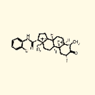 CN1C(=O)[C@H](F)C[C@]2(C)[C@H]3CC[C@]4(C)[C@@H](C(=O)Nc5ccccc5Cl)CC[C@H]4[C@@H]3CC[C@@H]12